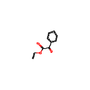 C=COC(=O)C(=O)c1ccccc1